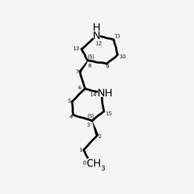 CCC[C@H]1CCC(C[C@@H]2CCCNC2)NC1